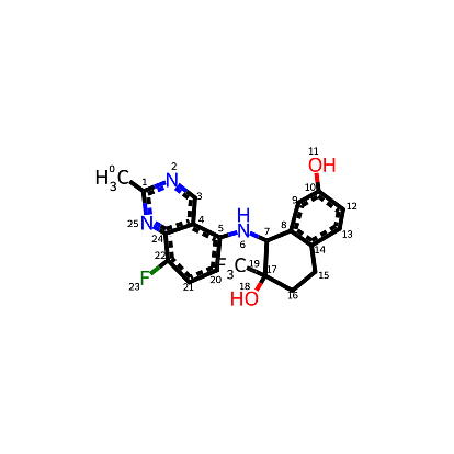 Cc1ncc2c(NC3c4cc(O)ccc4CCC3(O)C(F)(F)F)ccc(F)c2n1